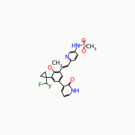 COc1c(C=Cc2ccc(NS(C)(=O)=O)cn2)cc(-c2ccc[nH]c2=O)cc1C1(C(F)F)CC1